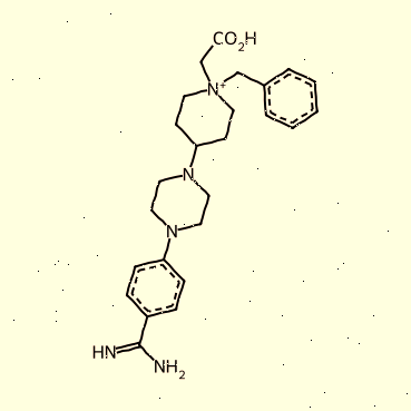 N=C(N)c1ccc(N2CCN(C3CC[N+](CC(=O)O)(Cc4ccccc4)CC3)CC2)cc1